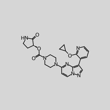 O=C1NCC[C@@H]1OC(=O)N1CCN(c2ccn3ncc(-c4cccnc4OC4CC4)c3n2)CC1